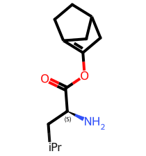 CC(C)C[C@H](N)C(=O)OC1=C2CCC(C2)C1